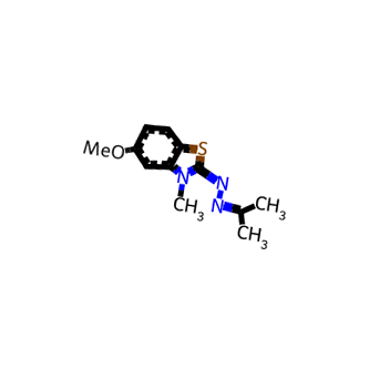 COc1ccc2sc(=NN=C(C)C)n(C)c2c1